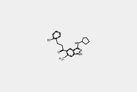 CCc1ccccc1CCC(=O)c1cc2c(NC3CCCC3)n[nH]c2cc1C